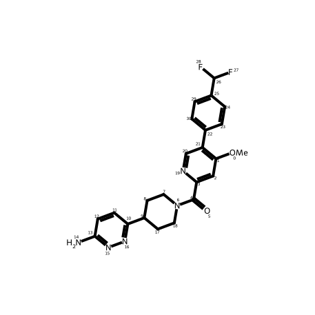 COc1cc(C(=O)N2CCC(c3ccc(N)nn3)CC2)ncc1-c1ccc(C(F)F)cc1